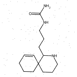 NC(=O)NCCCC1NCCCC12C=CCCC2